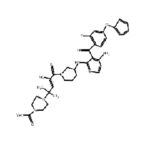 COC(=O)N1CCN(C(C)(C)/C=C(\C#N)C(=O)N2CCCC(Nc3ncnc(N)c3C(=N)c3ccc(Oc4ccccc4)cc3F)C2)CC1